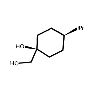 CC(C)[C@H]1CC[C@](O)(CO)CC1